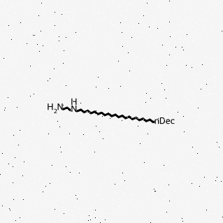 CCCCCCCCCCCCCCCCCCCCCCCCCCCCCCCCCNCCCN